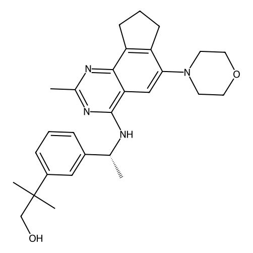 Cc1nc(N[C@H](C)c2cccc(C(C)(C)CO)c2)c2cc(N3CCOCC3)c3c(c2n1)CCC3